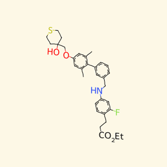 CCOC(=O)CCc1ccc(NCc2cccc(-c3c(C)cc(OCC4(O)CCSCC4)cc3C)c2)cc1F